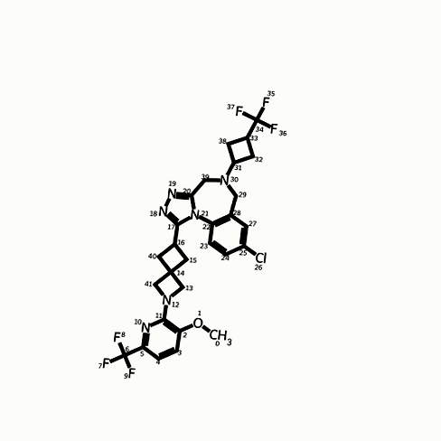 COc1ccc(C(F)(F)F)nc1N1CC2(CC(c3nnc4n3-c3ccc(Cl)cc3CN(C3CC(C(F)(F)F)C3)C4)C2)C1